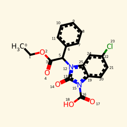 CCOC(=O)C(c1ccccc1)n1c(=O)n(C(=O)O)c2ccc(Cl)cc21